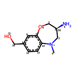 CN1C[C@H](N)COc2cc(CO)ccc21